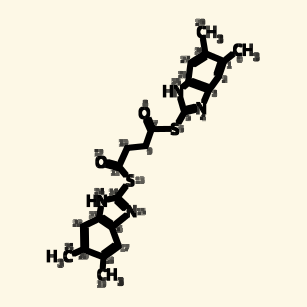 Cc1cc2nc(SC(=O)CCC(=O)Sc3nc4cc(C)c(C)cc4[nH]3)[nH]c2cc1C